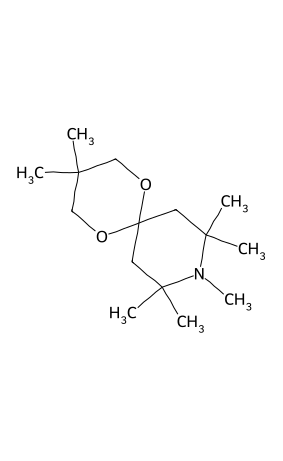 CN1C(C)(C)CC2(CC1(C)C)OCC(C)(C)CO2